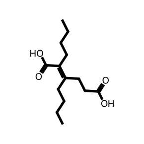 CCCC/C(CCC(=O)O)=C(/CCCC)C(=O)O